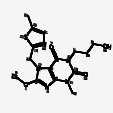 CCOc1nc2c(c(=O)n(CCCO)c(=O)n2C)n1Cc1ncc(C)s1